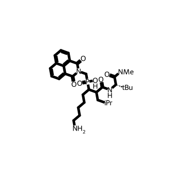 CNC(=O)[C@@H](NC(=O)C(CC(C)C)C(CCCCCN)P(=O)(O)CN1C(=O)c2cccc3cccc(c23)C1=O)C(C)(C)C